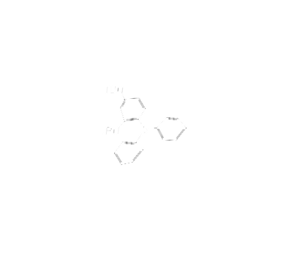 CC(C)(C)c1ccc([S+](c2ccccc2)c2ccccc2)c(C(C)(C)C)c1